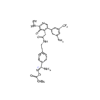 CC(C)COC(=O)O/N=C(\N)c1ccc(CNC(=O)Cn2c(-c3cc(N)cc(C(F)(F)F)c3)cnc(NC(C)C)c2=O)cc1